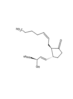 CCCCC[C@H](O)/C=C/[C@H]1CCC(=O)[C@@H]1C/C=C\CCCC(=O)O